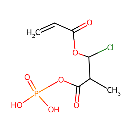 C=CC(=O)OC(Cl)C(C)C(=O)OP(=O)(O)O